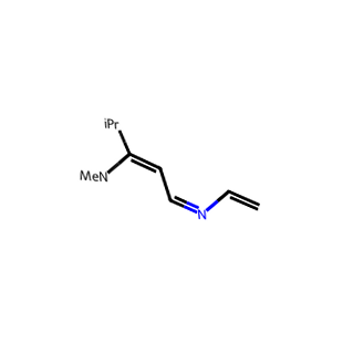 C=C/N=C\C=C(/NC)C(C)C